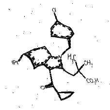 CC(C)c1ccc2c(c1)c(C(=O)C1CC1)c(CC(C)(C)C(=O)O)n2Cc1ccc(Cl)cc1